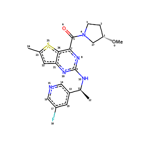 CO[C@H]1CCN(C(=O)c2nc(N[C@@H](C)c3cncc(F)c3)nc3cc(C)sc23)C1